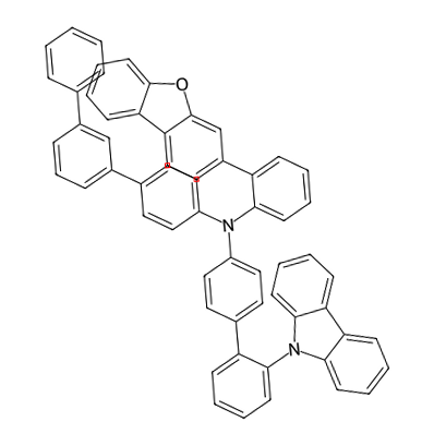 c1ccc(-c2cccc(-c3ccc(N(c4ccc(-c5ccccc5-n5c6ccccc6c6ccccc65)cc4)c4ccccc4-c4ccc5c(c4)oc4ccccc45)cc3)c2)cc1